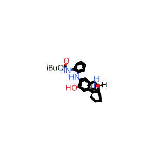 CC(C)COC(=O)Nc1ccccc1Nc1cc2c(cc1O)[C@@]13CCCC[C@H]1[C@@H](C2)NCC3